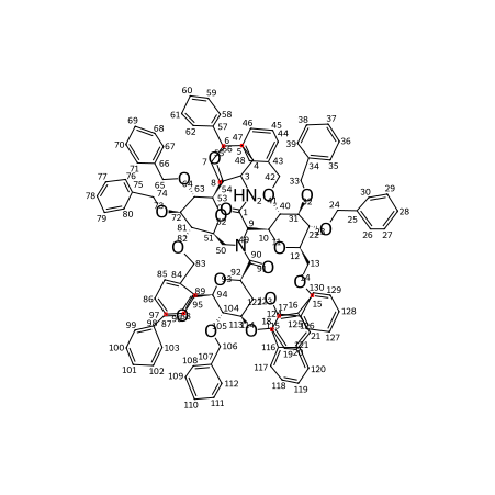 O=C(NC1CCCCC1)C([C@@H]1O[C@H](COCc2ccccc2)[C@@H](OCc2ccccc2)[C@H](OCc2ccccc2)[C@H]1OCc1ccccc1)N(C[C@@H]1O[C@H](COCc2ccccc2)[C@@H](OCc2ccccc2)[C@H](OCc2ccccc2)[C@H]1OCc1ccccc1)C(=O)[C@@H]1O[C@H](COCc2ccccc2)[C@@H](OCc2ccccc2)[C@H](OCc2ccccc2)[C@H]1OCc1ccccc1